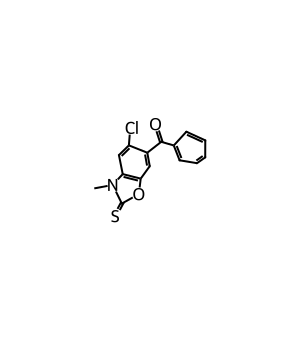 Cn1c(=S)oc2cc(C(=O)c3ccccc3)c(Cl)cc21